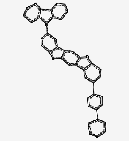 c1ccc(-c2ccc(-c3ccc4oc5cc6c(cc5c4c3)oc3ccc(-n4c5ccccc5c5ccccc54)cc36)cc2)cc1